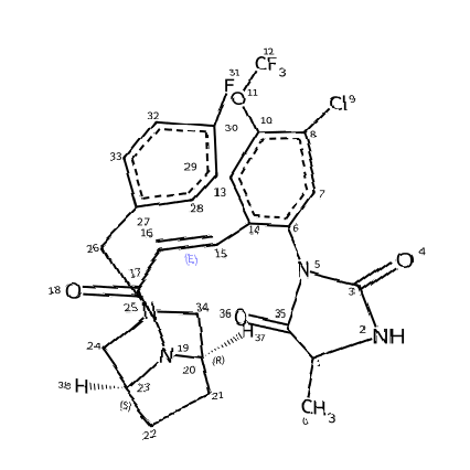 CC1NC(=O)N(c2cc(Cl)c(OC(F)(F)F)cc2/C=C/C(=O)N2[C@@H]3CC[C@H]2CN(Cc2ccc(F)cc2)C3)C1=O